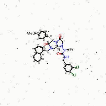 CCCN(C(=O)NCc1ccc(Cl)c(Cl)c1)N1CC(=O)N2[C@@H](Cc3ccc(OC)cc3)C(=O)N(Cc3cccc4ccccc34)C[C@@H]21